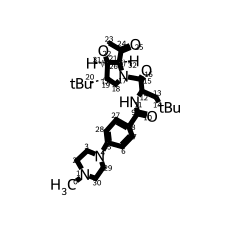 CN1CCN(c2ccc(C(=O)NC(CC(C)(C)C)C(=O)N3C[C@H](C(C)(C)C)[C@H]4OCC(=O)[C@H]43)cc2)CC1